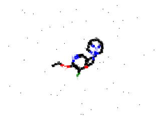 CCOc1ncc(CN2C3CC2CN(CC)C3)cc1F